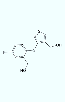 OCc1cc(F)ccc1Sc1cscc1CO